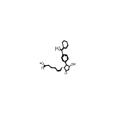 COC(=O)CCC/C=C\C[C@H]1C(Cl)C[C@@H](O)C1c1ccc(C(O)C2CCCCC2)cc1